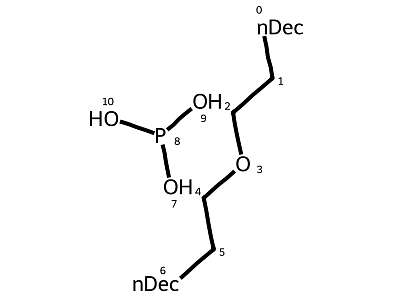 CCCCCCCCCCCCOCCCCCCCCCCCC.OP(O)O